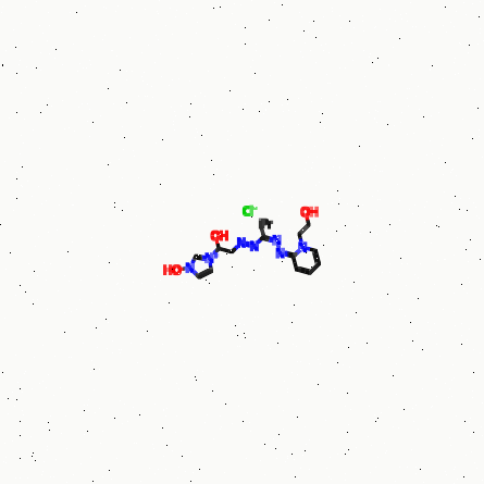 CC(C)C(N=NCC(O)[n+]1ccn(O)c1)=NN=c1ccccn1CCO.[Cl-]